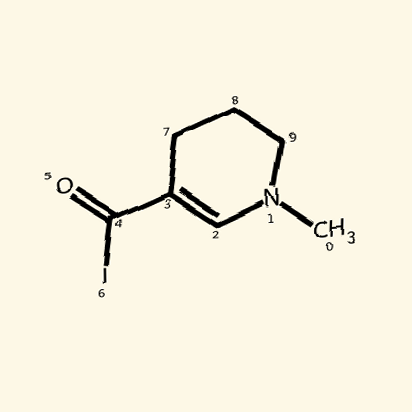 CN1C=C(C(=O)I)CCC1